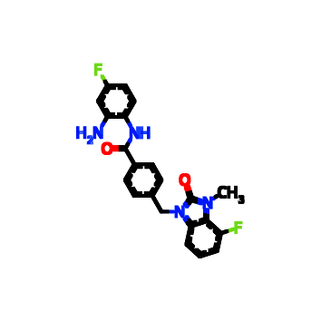 Cn1c(=O)n(Cc2ccc(C(=O)Nc3ccc(F)cc3N)cc2)c2cccc(F)c21